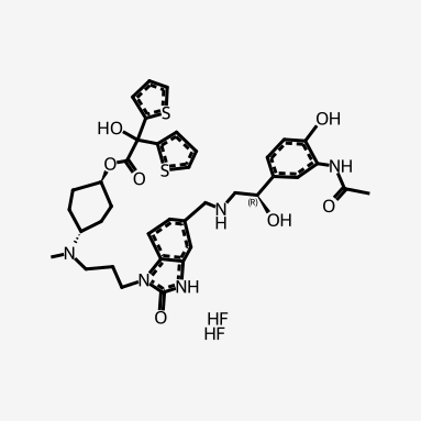 CC(=O)Nc1cc([C@@H](O)CNCc2ccc3c(c2)[nH]c(=O)n3CCCN(C)[C@H]2CC[C@H](OC(=O)C(O)(c3cccs3)c3cccs3)CC2)ccc1O.F.F